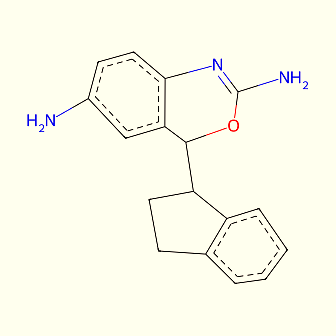 NC1=Nc2ccc(N)cc2C(C2CCc3ccccc32)O1